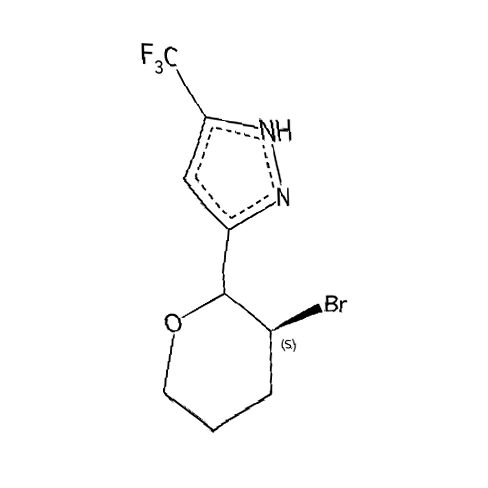 FC(F)(F)c1cc(C2OCCC[C@@H]2Br)n[nH]1